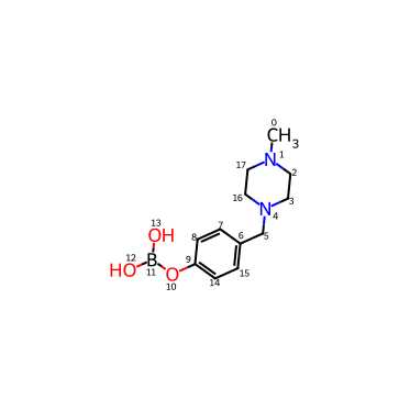 CN1CCN(Cc2ccc(OB(O)O)cc2)CC1